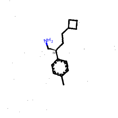 Cc1ccc([C@@H](CN)CCC2CCC2)cc1